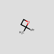 CCCC1(C)CCO1